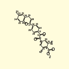 COC(=O)c1c(F)cc(C(=O)C(=O)c2ccc(C3=CCc4cc(C)ccc4O3)cc2)cc1F